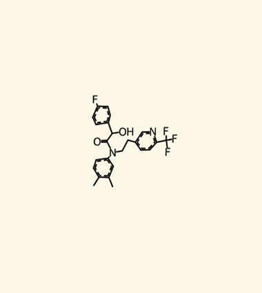 Cc1ccc(N(CCc2ccc(C(F)(F)F)nc2)C(=O)C(O)c2ccc(F)cc2)cc1C